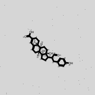 C[C@]12CCC(C(=O)O)=CC1=CC[C@@H]1[C@@H]2CC[C@]2(C)C(C(C=O)Cc3ccc(O)cc3)CC[C@@H]12